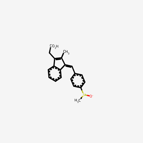 CC1=C(CC(=O)O)c2ccccc2C1=Cc1ccc([S+](C)[O-])cc1